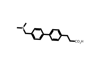 CN(C)Cc1ccc(-c2ccc(CCC(=O)O)cc2)cc1